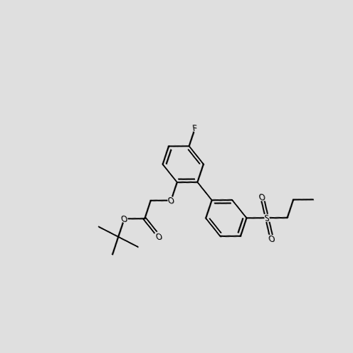 CCCS(=O)(=O)c1cccc(-c2cc(F)ccc2OCC(=O)OC(C)(C)C)c1